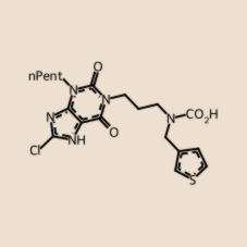 CCCCCn1c(=O)n(CCCN(Cc2ccsc2)C(=O)O)c(=O)c2[nH]c(Cl)nc21